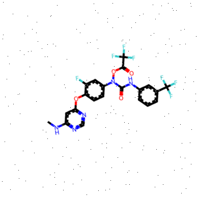 CNc1cc(Oc2ccc(N(OC(=O)C(F)(F)F)C(=O)Nc3cccc(C(F)(F)F)c3)cc2F)ncn1